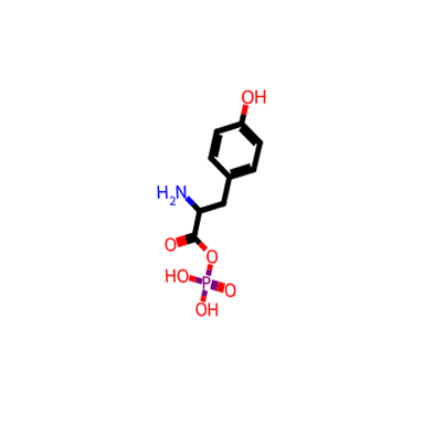 NC(Cc1ccc(O)cc1)C(=O)OP(=O)(O)O